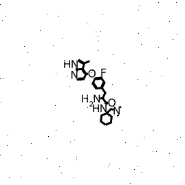 Cc1c[nH]c2nccc(Oc3ccc(CC(N)C(=O)NC4(CN(C)C)CCCCC4)cc3F)c12